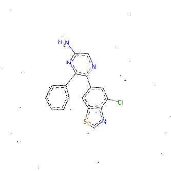 Nc1cnc(-c2cc(Cl)c3ncsc3c2)c(-c2ccccc2)n1